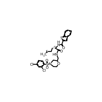 CSCC[C@H](NC(=O)c1cc2ccccc2s1)C(=O)NCC1CN(S(=O)(=O)c2ccc(Cl)cc2Cl)CCO1